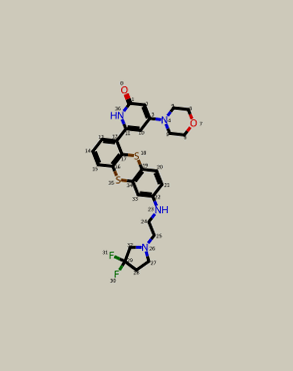 O=c1cc(N2CCOCC2)cc(-c2cccc3c2Sc2ccc(NCCN4CCC(F)(F)C4)cc2S3)[nH]1